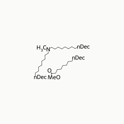 CCCCCCCCCCCCCCCCCC(=O)OC.CCCCCCCCCCCCCCCCCCN(C)CCCCCCCCCCCCCCCCCC